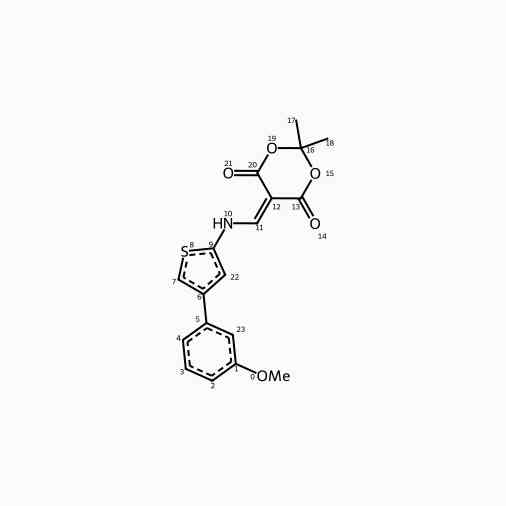 COc1cccc(-c2csc(NC=C3C(=O)OC(C)(C)OC3=O)c2)c1